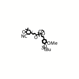 COc1cc(C=CC2(C(C)(C)C(=O)C=C[C@@]3(C)C=C(C#N)C(=O)C(C)(C)C3)OCCO2)ccc1O[Si](C)(C)C(C)(C)C